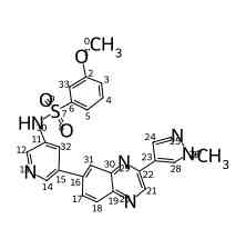 COc1cccc(S(=O)(=O)Nc2cncc(-c3ccc4ncc(-c5cnn(C)c5)nc4c3)c2)c1